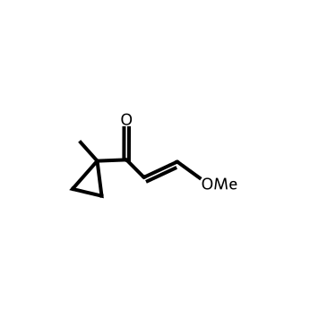 CO/C=C/C(=O)C1(C)CC1